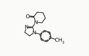 Cc1ccc(N2CCN=C2N2CCCCC2=O)cc1